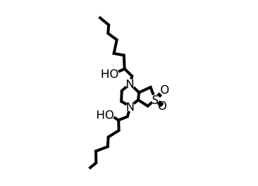 CCCCCCC(O)CN1CCN(CC(O)CCCCCC)C2CS(=O)(=O)CC21